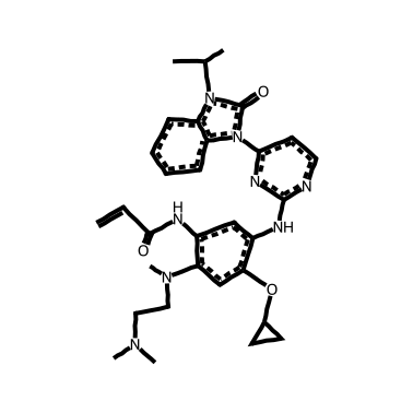 C=CC(=O)Nc1cc(Nc2nccc(-n3c(=O)n(C(C)C)c4ccccc43)n2)c(OC2CC2)cc1N(C)CCN(C)C